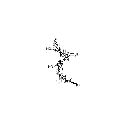 O=C(O)CN(CC(=O)NCCNC(=O)CN(CC(=O)O)C(=O)CNC(=O)CNC(=O)CN(CC(=O)O)C(=O)CNC(=O)CNC(=O)CCCCC(=O)I)C(=O)CNC(=O)CNC(=O)CN(CC(=O)O)C(=O)CNC(=O)CNF